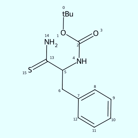 CC(C)(C)OC(=O)NC(Cc1ccccc1)C(N)=S